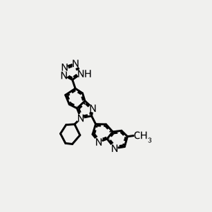 Cc1cnc2ncc(-c3nc4cc(-c5nnn[nH]5)ccc4n3C3CCCCC3)cc2c1